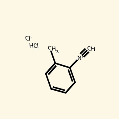 C#[N+]c1ccccc1C.Cl.[Cl-]